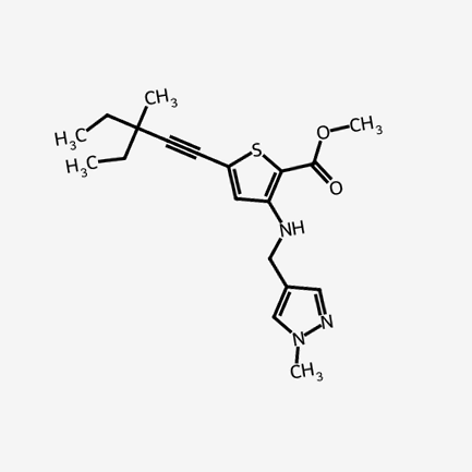 CCC(C)(C#Cc1cc(NCc2cnn(C)c2)c(C(=O)OC)s1)CC